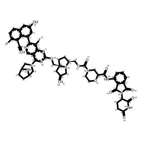 C#Cc1c(F)ccc2cc(O)cc(-c3ncc4c(N5CC6CCC(C5)N6)nc(OC[C@@]56CC[C@@H](COC(=O)N7CCOC(C(=O)Nc8cccc9c8C(=O)N(C8CCC(=O)NC8=O)C9=O)C7)N5CC(=C)C6)nc4c3F)c12